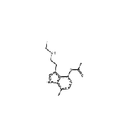 CCNCCc1c[nH]c2c(C)ccc(OC(C)=O)c12